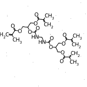 C=C(C)C(=O)OCC(COC(=O)C(=C)C)OC(=O)NCNC(=O)OC(COC(=O)C(=C)C)COC(=O)C(=C)C